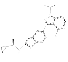 CC(C)n1nc(-c2ccc3nc(NC(=O)C4CC4)sc3c2)c2c(N)ncnc21